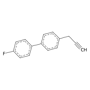 C#CCc1ccc(-c2ccc(F)cc2)cc1